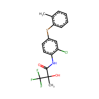 Cc1ccccc1Sc1ccc(NC(=O)C(C)(O)C(F)(F)F)c(Cl)c1